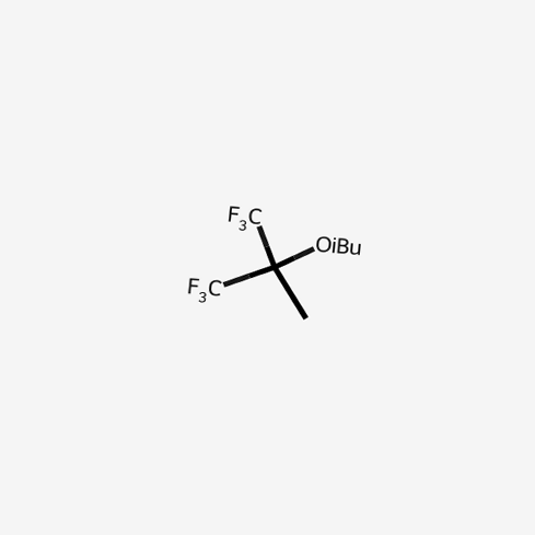 CC(C)COC(C)(C(F)(F)F)C(F)(F)F